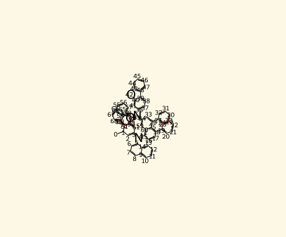 CC1C=C(N(c2cccc3ccccc23)c2ccc(-c3ccccc3)c3c(-c4ccccc4)cc(N(c4ccc5c(c4)oc4ccccc45)c4cccc5ccccc45)cc23)C=C2Oc3ccccc3C21